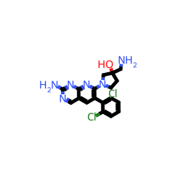 NCC1(O)CCN(c2nc3nc(N)ncc3cc2-c2c(Cl)cccc2Cl)C1